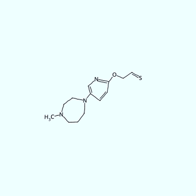 CN1CCCN(c2ccc(OCC=S)nc2)CC1